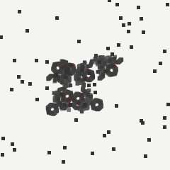 C=C[Si](C)(C)O[Si](O[Si](C)(C)C=C)(O[Si](C)(C)CC[Si](C)(C)O[Si](O[Si](C)(C)CC[Si](C)(C)O[Si](O[Si](C)(C)CC[Si](C)(C)O[Si](O[Si](C)(C)CC[Si](C)(C)O[Si](O[Si](C)(C)C=C)(O[Si](C)(C)C=C)c1ccccc1)(c1ccccc1)c1ccccc1)(c1ccccc1)c1ccccc1)(c1ccccc1)c1ccccc1)c1ccccc1